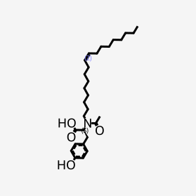 CCCCCCCC/C=C\CCCCCCCCN(C(C)=O)[C@@H](Cc1ccc(O)cc1)C(=O)O